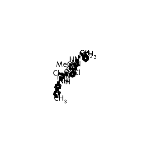 COn1c(=O)c(-c2cc(NC(=O)c3cc(Cl)nc(NCc4ccc(N5CCN(C)CC5)cc4)c3)ccc2Cl)cc2cnc(NCCN(C)c3ccccc3C)nc21